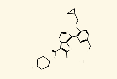 Cc1[nH]c2c(-c3cc(CN)ccc3OCC3CC3)ncnc2c1C(=O)N[C@H]1CC[C@@H](N)CC1.Cl